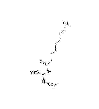 C=CCCCCCCC(=O)NC(=NC(=O)O)SC